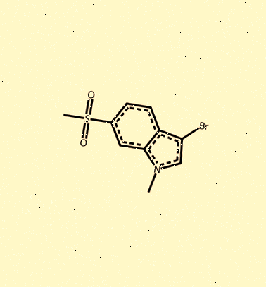 Cn1cc(Br)c2ccc(S(C)(=O)=O)cc21